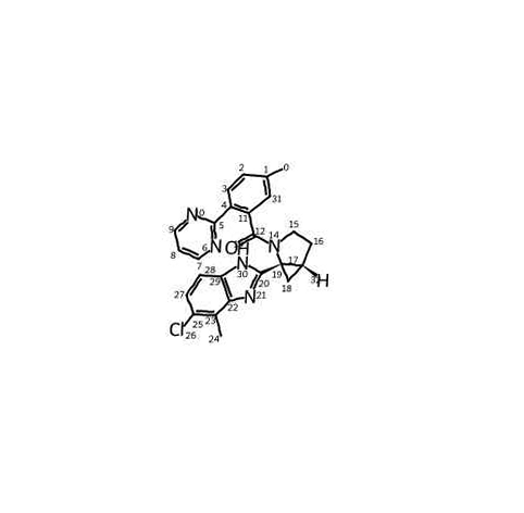 Cc1ccc(-c2ncccn2)c(C(=O)N2CC[C@@H]3C[C@@]32c2nc3c(C)c(Cl)ccc3[nH]2)c1